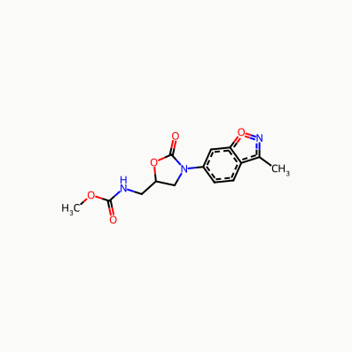 COC(=O)NCC1CN(c2ccc3c(C)noc3c2)C(=O)O1